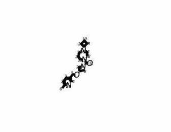 Cc1ccc(COC2CN(C(=O)N3CCCN(C4CCC4)CC3)C2)cn1